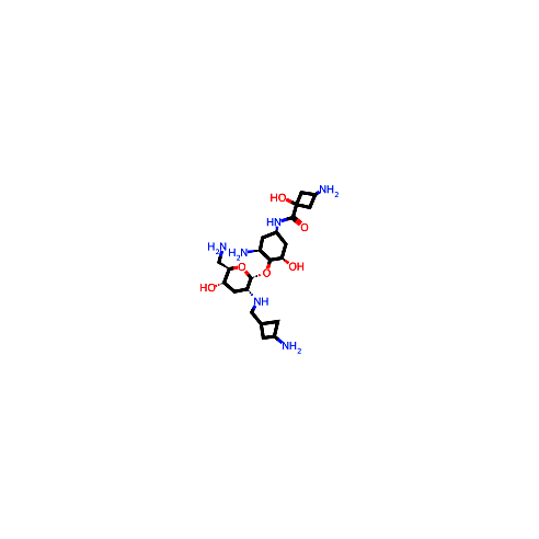 NC[C@H]1O[C@H](OC2[C@H](O)C[C@H](NC(=O)C3(O)CC(N)C3)C[C@@H]2N)[C@H](NCC2CC(N)C2)C[C@@H]1O